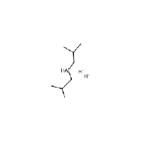 CC(C)[CH2][AlH][CH2]C(C)C.[H+].[H+]